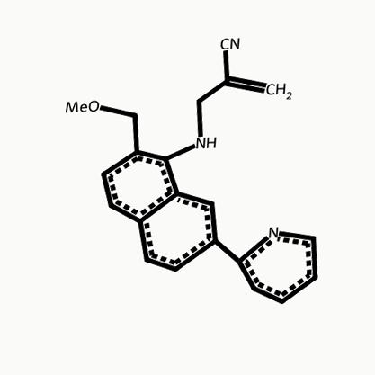 C=C(C#N)CNc1c(COC)ccc2ccc(-c3ccccn3)cc12